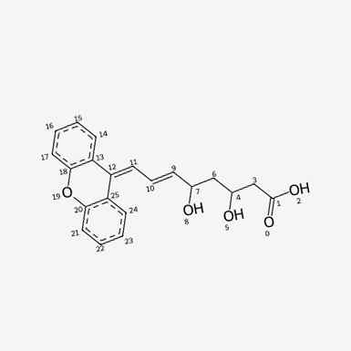 O=C(O)CC(O)CC(O)/C=C/C=C1c2ccccc2Oc2ccccc21